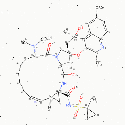 COc1ccc2nc(C(F)(F)F)c3c(c2c1)[C@](C)(O)C[C@]1(C[C@H]2C(=O)N[C@]4(C(=O)NS(=O)(=O)C5(C)CC5)C[C@H]4/C=C\CCCCC[C@H](N(C(=O)O)C(C)(C)C)C(=O)N2C1)O3